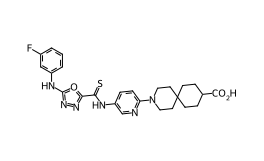 O=C(O)C1CCC2(CC1)CCN(c1ccc(NC(=S)c3nnc(Nc4cccc(F)c4)o3)cn1)CC2